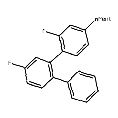 CCCCCc1ccc(-c2cc(F)ccc2-c2ccccc2)c(F)c1